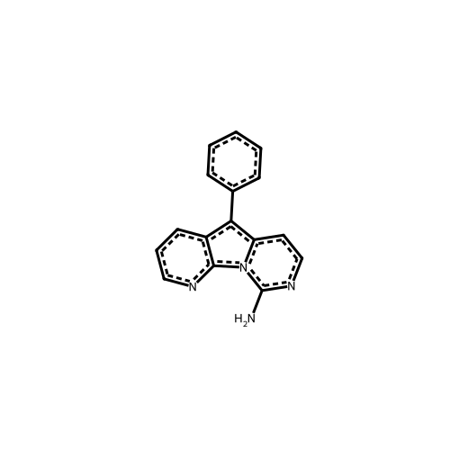 Nc1nccc2c(-c3ccccc3)c3cccnc3n12